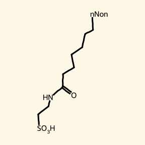 CCCCCCCCCCCCCCCC(=O)NCCS(=O)(=O)O